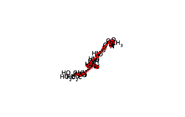 CN1C(=O)C[C@H](C(=O)NCCO[C@H]2CC[C@H](OCCCC(=O)N[C@H]3CC[C@H](C(=O)NCCNC(=O)[C@H](Cc4ccccc4)NC(=O)[C@H](Cc4ccccc4)NC(=O)CCCCCCCNC(=O)CC[C@H](NC(=O)N[C@@H](CCC(=O)O)C(=O)O)C(=O)O)CC3)CC2)[C@H]1c1cccnc1